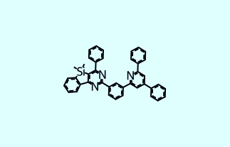 C[Si]1(C)c2ccccc2-c2nc(-c3cccc(-c4cc(-c5ccccc5)cc(-c5ccccc5)n4)c3)nc(-c3ccccc3)c21